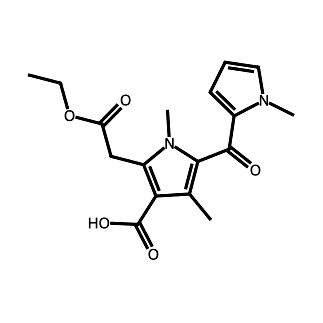 CCOC(=O)Cc1c(C(=O)O)c(C)c(C(=O)c2cccn2C)n1C